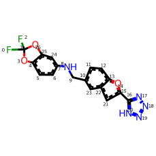 FC1(F)Oc2ccc(NCc3ccc4oc(-c5nnn[nH]5)cc4c3)cc2O1